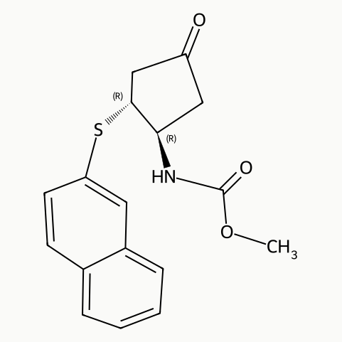 COC(=O)N[C@@H]1CC(=O)C[C@H]1Sc1ccc2ccccc2c1